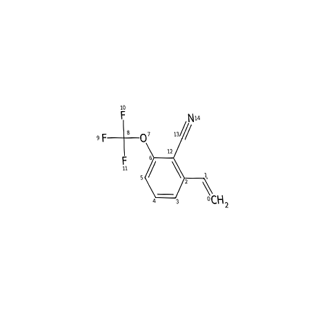 C=[C]c1cccc(OC(F)(F)F)c1C#N